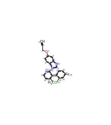 C#CCOc1ccc2c(c1)ncn2-c1nccc(C)c1-c1ccc(F)cc1Cl